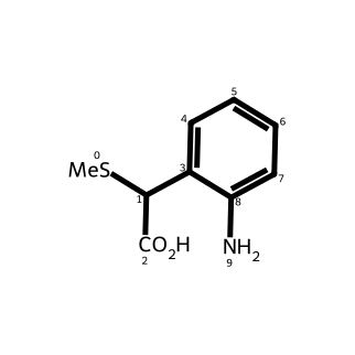 CSC(C(=O)O)c1ccccc1N